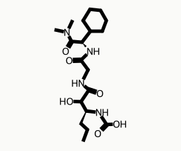 CCC[C@H](NC(=O)O)C(O)C(=O)NCC(=O)N[C@H](C(=O)N(C)C)C1CCCCC1